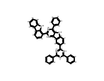 c1ccc(-c2nc(-c3ccccc3)nc(-c3ccc4sc5c(-c6ccccc6)nc(-c6cccc7c6sc6ccccc67)nc5c4c3)n2)cc1